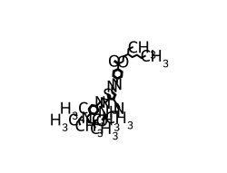 CCCCC(CC)COC(=O)c1ccc(N=Nc2cc(C#N)c(/N=N/c3cc(C)c(N(CC(C)C)CC(C)C)cc3NC(C)=O)s2)cc1